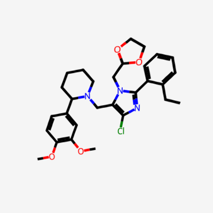 CCc1ccccc1-c1nc(Cl)c(CN2CCCCC2c2ccc(OC)c(OC)c2)n1CC1OCCO1